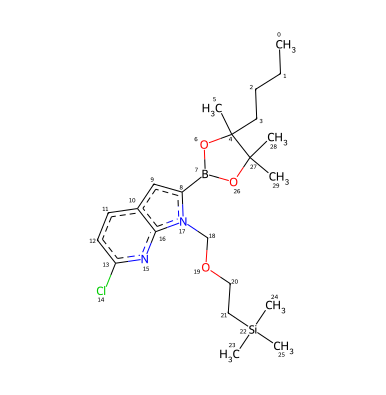 CCCCC1(C)OB(c2cc3ccc(Cl)nc3n2COCC[Si](C)(C)C)OC1(C)C